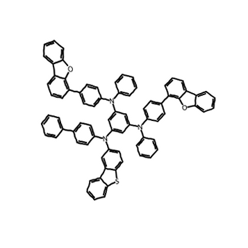 c1ccc(-c2ccc(N(c3cc(N(c4ccccc4)c4ccc(-c5cccc6c5oc5ccccc56)cc4)cc(N(c4ccccc4)c4ccc(-c5cccc6c5oc5ccccc56)cc4)c3)c3ccc4sc5ccccc5c4c3)cc2)cc1